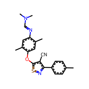 Cc1ccc(-c2nsc(Oc3cc(C)c(N=CN(C)C)cc3C)c2C#N)cc1